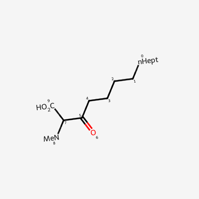 CCCCCCCCCCCC(=O)C(NC)C(=O)O